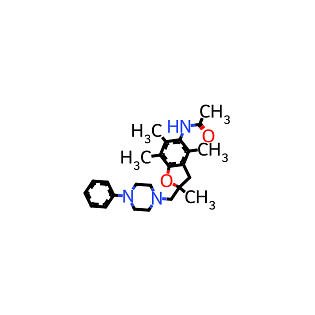 CC(=O)Nc1c(C)c(C)c2c(c1C)CC(C)(CN1CCN(c3ccccc3)CC1)O2